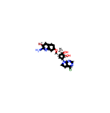 C[C@@]1(O)[C@@H](COc2ccc3cc(Br)c(N)nc3c2)C[C@@H](n2ccc3c(Cl)ncnc32)[C@@H]1O